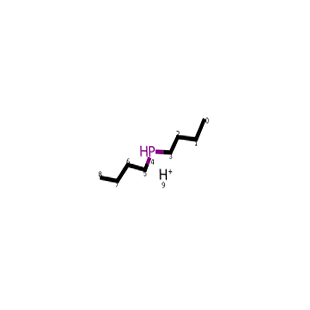 CCCCPCCCC.[H+]